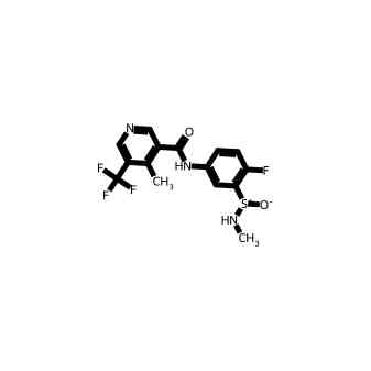 CN[S+]([O-])c1cc(NC(=O)c2cncc(C(F)(F)F)c2C)ccc1F